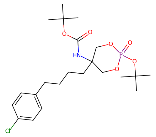 CC(C)(C)OC(=O)NC1(CCCCc2ccc(Cl)cc2)COP(=O)(OC(C)(C)C)OC1